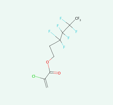 C=C(Cl)C(=O)OCCC(F)(F)C(F)(F)C(F)(F)C(F)(F)F